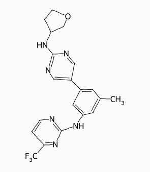 Cc1cc(Nc2nccc(C(F)(F)F)n2)cc(-c2cnc(NC3CCOC3)nc2)c1